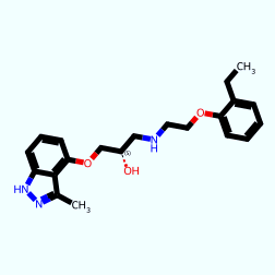 CCc1ccccc1OCCNC[C@H](O)COc1cccc2[nH]nc(C)c12